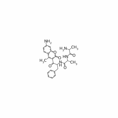 Cc1c(C(=O)C(Cc2ccccc2)NC(=O)C(C)NC(=O)C(C)N)c(=O)oc2cc(N)ccc12